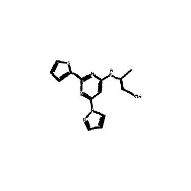 CC(CO)Nc1cc(-n2cccn2)nc(-c2cccs2)n1